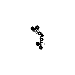 C=C(CN1CCC(OC(=O)NC(c2ccccc2)c2ccccc2)CC1)CN1CCC(OC(=O)NC(c2ccccc2)c2ccccc2)CC1